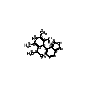 CC1=C(C)C(c2cccc3nonc23)C(C(C)C)=C(C)N1